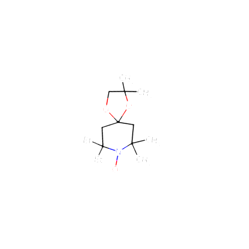 CCC1(CC)CC2(CC(C)(C)N1[O])OCC(C)(C)O2